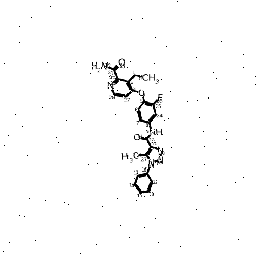 CCc1c(Oc2ccc(NC(=O)c3nnn(-c4ccccc4)c3C)cc2F)ccnc1C(N)=O